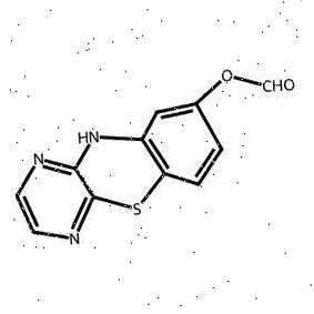 O=COc1ccc2c(c1)Nc1nccnc1S2